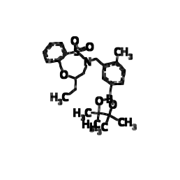 CCC1CN(Cc2cc(B3OC(C)(C)C(C)(C)O3)ccc2C)S(=O)(=O)c2ccccc2O1